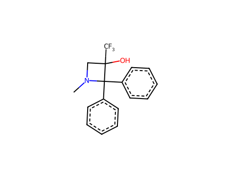 CN1CC(O)(C(F)(F)F)C1(c1ccccc1)c1ccccc1